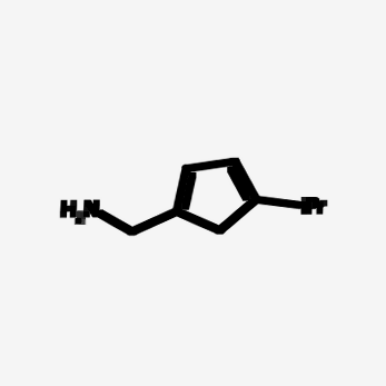 CC(C)C1=CC=C(CN)C1